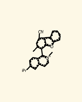 Cc1cc(C#N)c2c(oc3ccccc32)c1-c1c2ccc(C(C)C)cc2cc[n+]1C